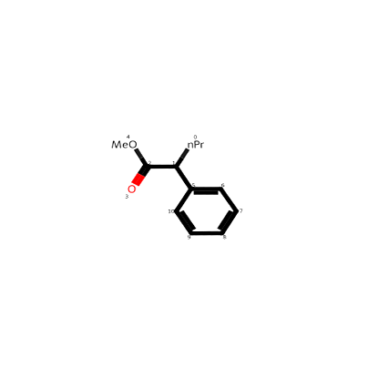 [CH2]CCC(C(=O)OC)c1ccccc1